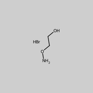 Br.NOCCO